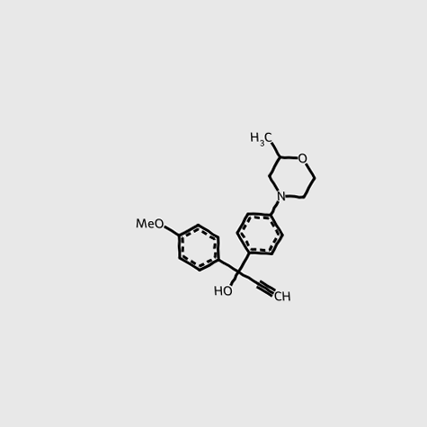 C#CC(O)(c1ccc(OC)cc1)c1ccc(N2CCOC(C)C2)cc1